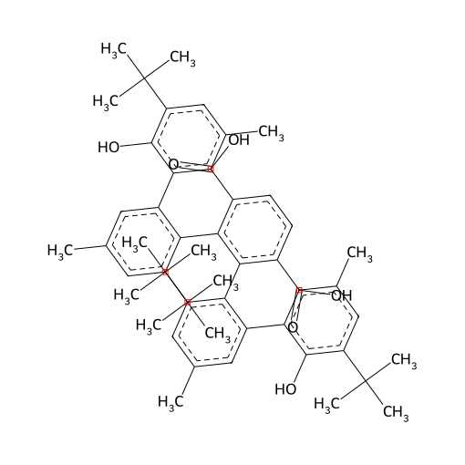 Cc1cc(-c2cc(C)cc(C(C)(C)C)c2-c2c(C(=O)O)ccc(C(=O)O)c2-c2c(-c3cc(C)cc(C(C)(C)C)c3O)cc(C)cc2C(C)(C)C)c(O)c(C(C)(C)C)c1